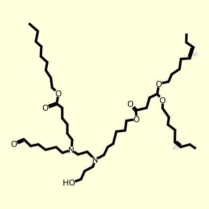 CC/C=C\CCCCOC(CCC(=O)OCCCCCCN(CCCO)CCN(CCCCCC=O)CCCCCC(=O)OCCCCCCCCC)OCCCC/C=C\CC